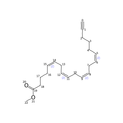 C#CCCC/C=C\C/C=C\C/C=C\C/C=C\CCCC(=O)OC